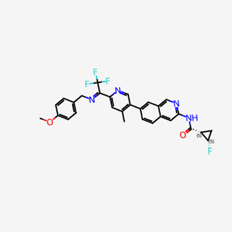 COc1ccc(CN=C(c2cc(C)c(-c3ccc4cc(NC(=O)[C@@H]5C[C@@H]5F)ncc4c3)cn2)C(F)(F)F)cc1